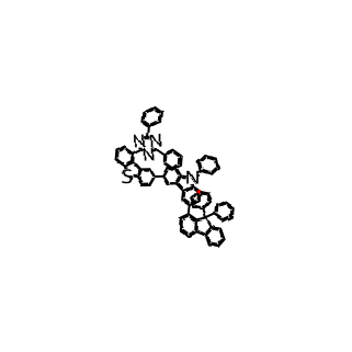 c1ccc(-c2nc(-c3ccccc3)nc(-c3cccc4sc5ccc(-c6ccc7c(c6)c6cc(-c8cccc9c8C(c8ccccc8)(c8ccccc8)c8ccccc8-9)ccc6n7-c6ccccc6)cc5c34)n2)cc1